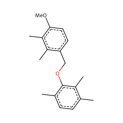 COc1ccc(COc2c(C)ccc(C)c2C)c(C)c1C